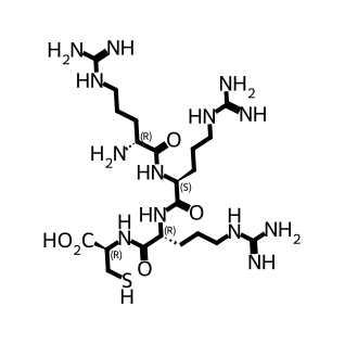 N=C(N)NCCC[C@@H](N)C(=O)N[C@@H](CCCNC(=N)N)C(=O)N[C@H](CCCNC(=N)N)C(=O)N[C@@H](CS)C(=O)O